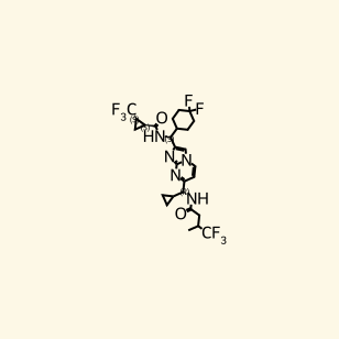 CC(CC(=O)N[C@@H](c1ccn2cc([C@@H](NC(=O)[C@H]3C[C@@H]3C(F)(F)F)C3CCC(F)(F)CC3)nc2n1)C1CC1)C(F)(F)F